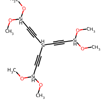 CO[SiH](C#C[SiH](C#C[SiH](OC)OC)C#C[SiH](OC)OC)OC